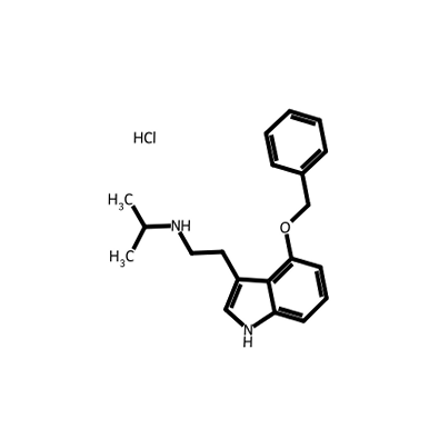 CC(C)NCCc1c[nH]c2cccc(OCc3ccccc3)c12.Cl